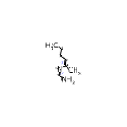 CCC/C=C(C)\N=C/N